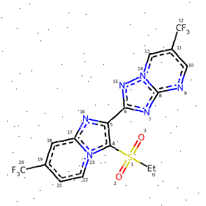 CCS(=O)(=O)c1c(-c2nc3ncc(C(F)(F)F)cn3n2)nc2cc(C(F)(F)F)ccn12